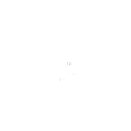 C=CC(Cc1ccccc1)(Cc1ccccc1)NCC(=O)O